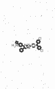 NC1(c2ccc(-c3nc4nc(N5CCN(C(c6ccc(Cl)cc6)c6ccc(Cl)cc6)CC5)nn4cc3-c3ccccc3)cc2)CCC1